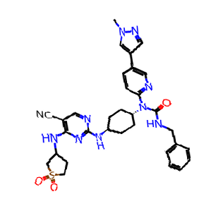 Cn1cc(-c2ccc(N(C(=O)NCc3ccccc3)[C@H]3CC[C@H](Nc4ncc(C#N)c(NC5CCS(=O)(=O)C5)n4)CC3)nc2)cn1